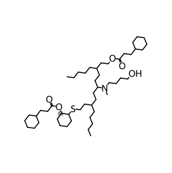 CCCCCC(CCOC(=O)CCC1CCCCC1)CCC(CCC(CCCCC)CCSC1CCCC[C@H]1OC(=O)CCC1CCCCC1)N(C)CCCCO